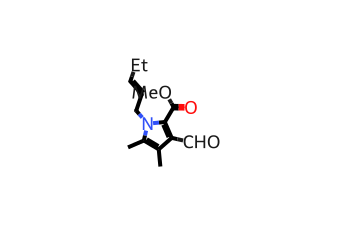 CC/C=C/Cn1c(C)c(C)c(C=O)c1C(=O)OC